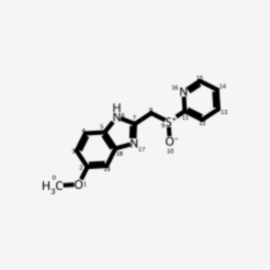 COc1ccc2[nH]c(C[S+]([O-])c3ccccn3)nc2c1